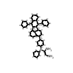 N/C=C(\N)N(c1ccccc1)c1ccc(-c2ccc3c4c(cccc24)-c2c-3c(-c3ccccc3)c3ccccc3c2-c2ccccc2)cc1